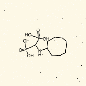 O=P(O)(O)C(NC1CCCCCCC1)P(=O)(O)O